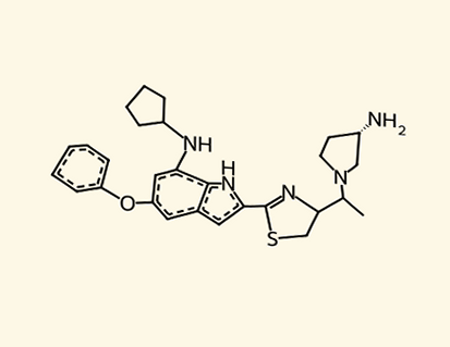 CC(C1CSC(c2cc3cc(Oc4ccccc4)cc(NC4CCCC4)c3[nH]2)=N1)N1CC[C@H](N)C1